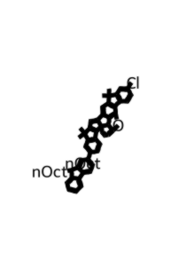 CCCCCCCCC1(CCCCCCCC)c2ccccc2-c2ccc(-c3ccc4c(c3)C(C)(C)C3=C4C45C=CC=C6Oc7c8c(cc(c7C64)C5=C3)C(C)(C)c3cc(Cl)ccc3-8)cc21